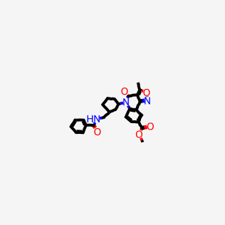 COC(=O)c1ccc2c(c1)c1noc(C)c1c(=O)n2C1CCCC(CNC(=O)c2ccccc2)C1